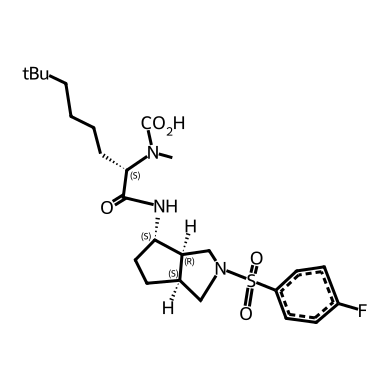 CN(C(=O)O)[C@@H](CCCCC(C)(C)C)C(=O)N[C@H]1CC[C@@H]2CN(S(=O)(=O)c3ccc(F)cc3)C[C@@H]21